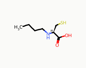 CCCCN[C@@H](CS)C(=O)O